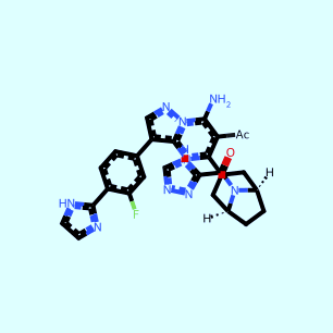 CC(=O)c1c(C2C[C@H]3CC[C@@H](C2)N3C(=O)c2nnc[nH]2)nc2c(-c3ccc(-c4ncc[nH]4)c(F)c3)cnn2c1N